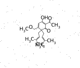 COCC1=CC(O)=C(C(C)=O)C(=O)C1(CC=C(C)C)CC=C(C)C